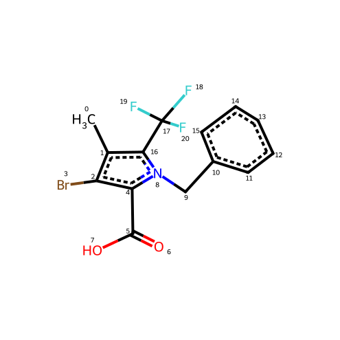 Cc1c(Br)c(C(=O)O)n(Cc2ccccc2)c1C(F)(F)F